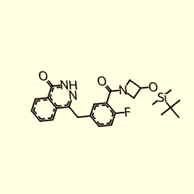 CC(C)(C)[Si](C)(C)OC1CN(C(=O)c2cc(Cc3n[nH]c(=O)c4ccccc34)ccc2F)C1